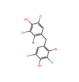 Oc1c(Cl)cc(Cc2cc(Cl)c(O)c(Cl)c2Br)c(Br)c1Cl